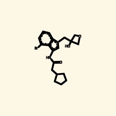 O=C(CC1CCCC1)Nc1cn(CC2(O)COC2)c2cccc(Br)c12